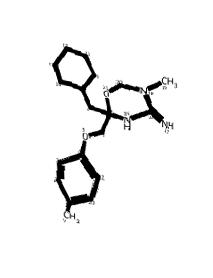 Cc1ccc(OCC2(CC3CCCCC3)NC(=N)N(C)CO2)cc1